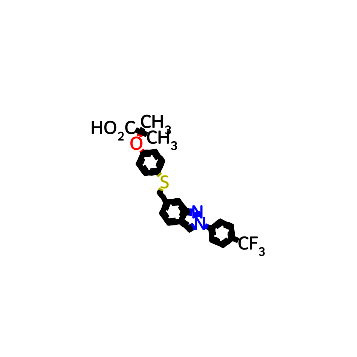 CC(C)(Oc1ccc(SCc2ccc3cn(-c4ccc(C(F)(F)F)cc4)nc3c2)cc1)C(=O)O